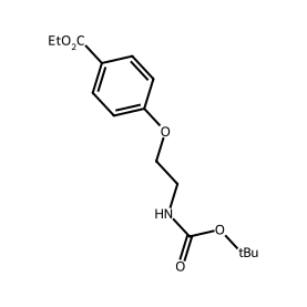 CCOC(=O)c1ccc(OCCNC(=O)OC(C)(C)C)cc1